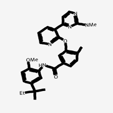 CCC(C)(C)c1ccc(OC)c(NC(=O)c2ccc(C)c(Oc3ncccc3-c3ccnc(NC)n3)c2)c1